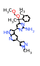 COCOC(C)(c1cc(-c2c[nH]c3ncc(-c4cnn(C)c4)cc23)nc(N)n1)c1ccccc1C